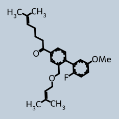 COc1ccc(F)c(-c2ccc(C(=O)CCCC=C(C)C)cc2COCC=C(C)C)c1